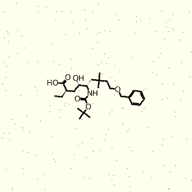 CC[C@H](C[C@H](O)[C@H](CC(C)(C)CCOCc1ccccc1)NC(=O)OC(C)(C)C)C(=O)O